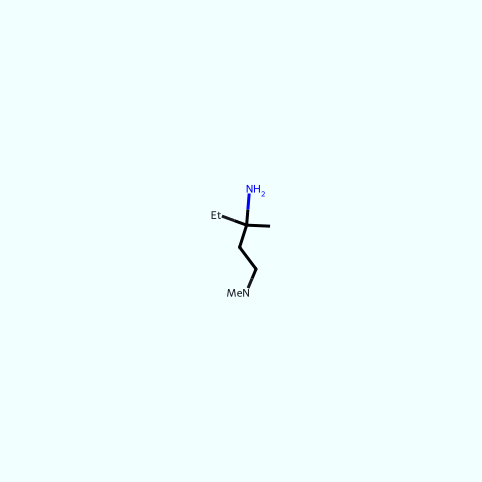 CCC(C)(N)CCNC